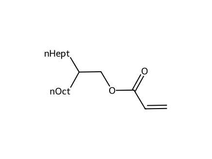 C=CC(=O)OCC(CCCCCCC)CCCCCCCC